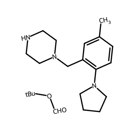 CC(C)(C)OC=O.Cc1ccc(N2CCCC2)c(CN2CCNCC2)c1